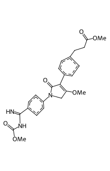 COC(=O)CCc1ccc(C2=C(OC)CN(c3ccc(C(=N)NC(=O)OC)cc3)C2=O)cc1